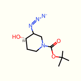 CC(C)(C)OC(=O)N1CC[C@H](O)C(N=[N+]=[N-])C1